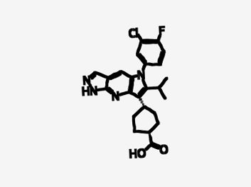 CC(C)c1c([C@H]2CC[C@H](C(=O)O)CC2)c2nc3[nH]ncc3cc2n1-c1ccc(F)c(Cl)c1